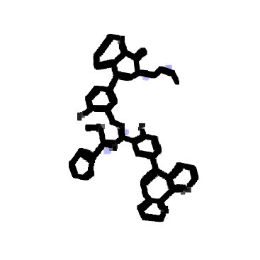 C=N/C(=N\C(=N/Cc1cc(-c2c/c(=C/C=C\C)c(=C)c3ncccc23)ccc1F)c1cc(-c2cc3cccnc3c3ncccc23)ccc1F)c1ccccc1